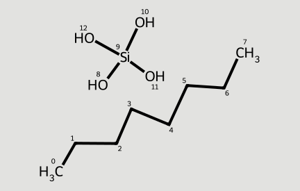 CCCCCCCC.O[Si](O)(O)O